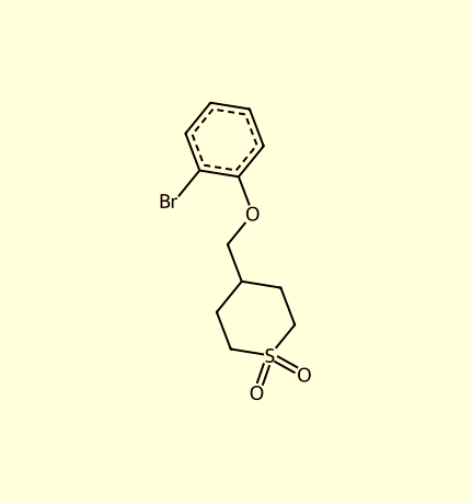 O=S1(=O)CCC(COc2ccccc2Br)CC1